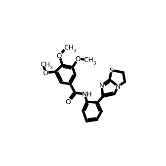 COc1cc(C(=O)Nc2ccccc2-c2cn3c(n2)SCC3)cc(OC)c1OC